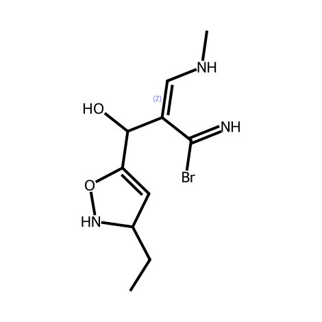 CCC1C=C(C(O)/C(=C/NC)C(=N)Br)ON1